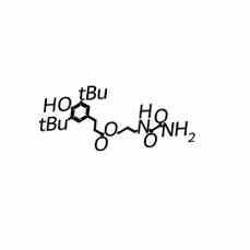 CC(C)(C)c1cc(CCC(=O)OCCCNC(=O)C(N)=O)cc(C(C)(C)C)c1O